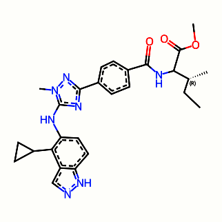 CC[C@@H](C)C(NC(=O)c1ccc(-c2nc(Nc3ccc4[nH]ncc4c3C3CC3)n(C)n2)cc1)C(=O)OC